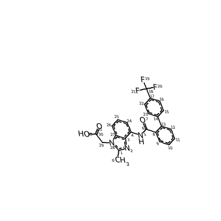 Cc1nc2c(NC(=O)c3ccccc3-c3ccc(C(F)(F)F)cc3)cccc2n1CC(=O)O